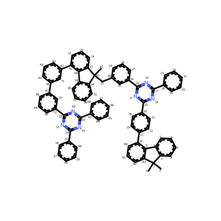 CC1(C)c2ccccc2-c2c(-c3ccc(-c4nc(-c5ccccc5)nc(-c5cccc(CC6(C)c7ccccc7-c7c(-c8cccc(-c9cccc(-c%10nc(-c%11ccccc%11)nc(-c%11ccccc%11)n%10)c9)c8)cccc76)c5)n4)cc3)cccc21